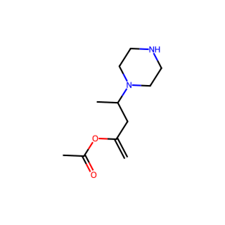 C=C(CC(C)N1CCNCC1)OC(C)=O